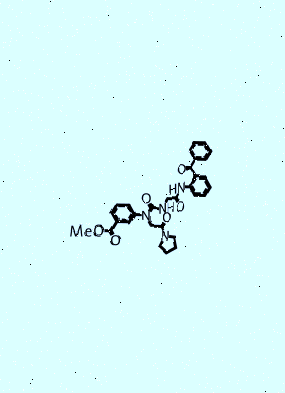 COC(=O)c1cccc(N(CC(=O)N2CCCC2)C(=O)NCC(=O)Nc2ccccc2C(=O)c2ccccc2)c1